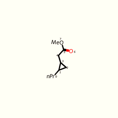 CCCC1CC1CC(=O)OC